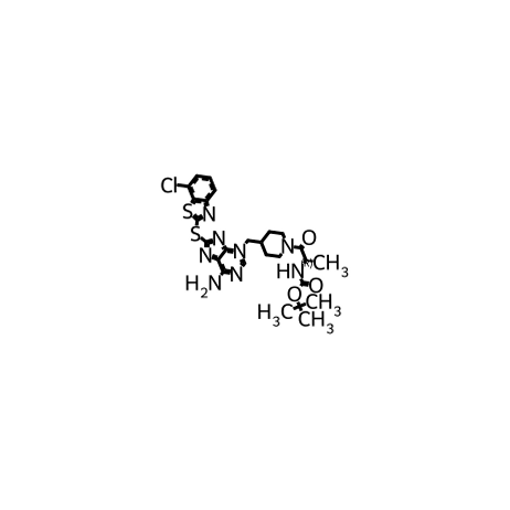 C[C@@H](NC(=O)OC(C)(C)C)C(=O)N1CCC(Cn2cnc(N)c3nc(Sc4nc5cccc(Cl)c5s4)nc2-3)CC1